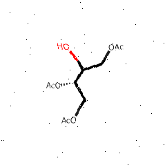 CC(=O)OCC(O)[C@H](COC(C)=O)OC(C)=O